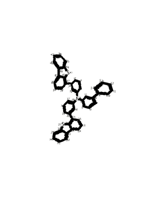 C1=CC(N(c2cccc(-c3ccccc3)c2)c2cccc(-c3cccc4c3sc3ccccc34)c2)=CC(c2cccc3c2sc2ccccc23)C1